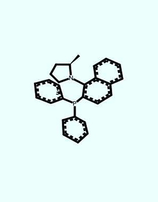 C[C@@H]1CC[C@@H](C)N1c1c(P(c2ccccc2)c2ccccc2)ccc2ccccc12